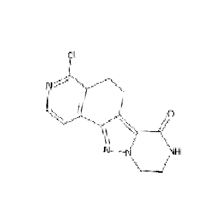 O=C1NCCn2nc3c(c21)CCc1c-3ccnc1Cl